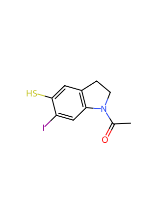 CC(=O)N1CCc2cc(S)c(I)cc21